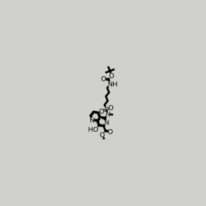 COC(=O)c1nc(N(C)S(=O)(=O)CCCCCNC(=O)OC(C)(C)C)c2cccnc2c1O